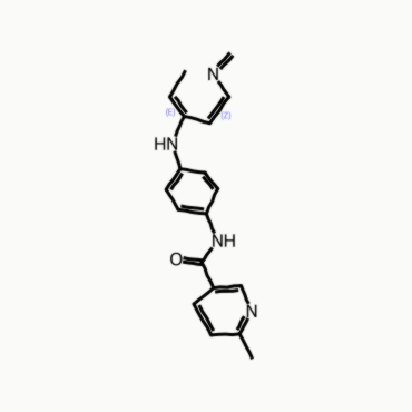 C=N/C=C\C(=C/C)Nc1ccc(NC(=O)c2ccc(C)nc2)cc1